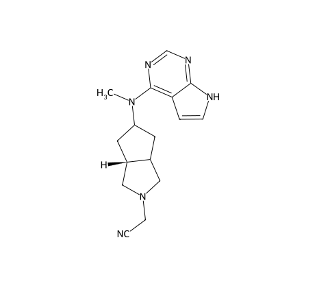 CN(c1ncnc2[nH]ccc12)C1CC2CN(CC#N)C[C@@H]2C1